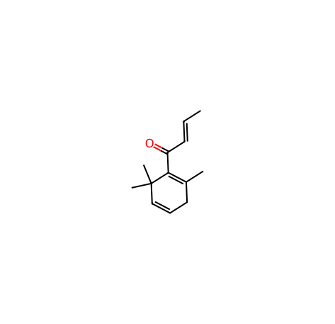 CC=CC(=O)C1=C(C)CC=CC1(C)C